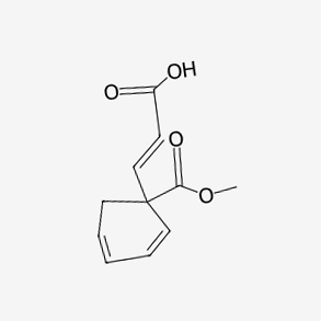 COC(=O)C1(C=CC(=O)O)C=CC=CC1